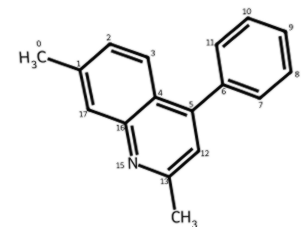 Cc1ccc2c(-c3ccccc3)cc(C)nc2c1